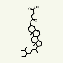 CCC(CCC(C)C1CCC2C3CC=C4CC(OC(=O)CCC(=O)O)CCC4(C)C3CCC12C)C(C)C